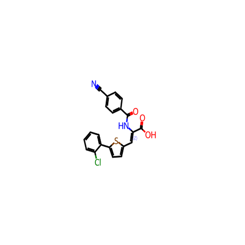 N#Cc1ccc(C(=O)N/C(=C\c2ccc(-c3ccccc3Cl)s2)C(=O)O)cc1